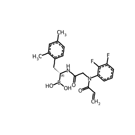 C=CC(=O)N(CC(=O)N[C@@H](Cc1ccc(C)cc1C)B(O)O)c1cccc(F)c1F